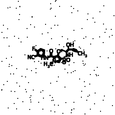 CC#C[C@H](O)[C@@H]1COc2c(cn(C)c2C(=O)Nc2ccc(F)c(C#N)c2)S(=O)(=O)N1